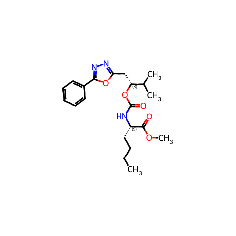 CCCC[C@H](NC(=O)O[C@H](Cc1nnc(-c2ccccc2)o1)C(C)C)C(=O)OC